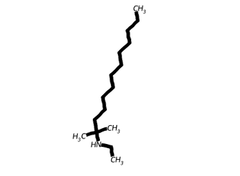 CCCCCCCCCCCC(C)(C)NCC